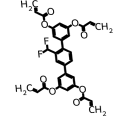 C=CC(=O)Oc1cc(OC(=O)C=C)cc(-c2ccc(-c3cc(OC(=O)C=C)cc(OC(=O)C=C)c3)c(C(F)F)c2)c1